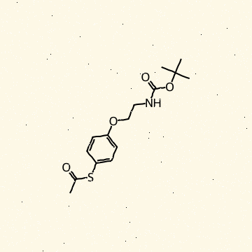 CC(=O)Sc1ccc(OCCNC(=O)OC(C)(C)C)cc1